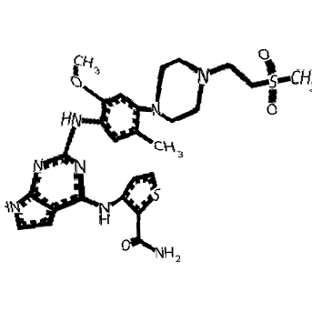 COc1cc(N2CCN(CCS(C)(=O)=O)CC2)c(C)cc1Nc1nc(Nc2ccsc2C(N)=O)c2cc[nH]c2n1